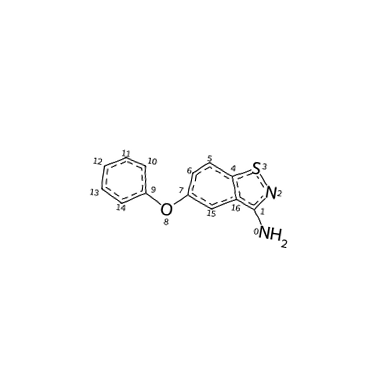 Nc1nsc2ccc(Oc3ccccc3)cc12